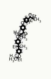 CCC(C)(C)Oc1ccc(C(C)(CC)c2ccc(OC(C)(CC)C(C)(CC)C(=O)c3ccc(Oc4ccc(C(=O)C(C)(C)CC)cc4)cc3)cc2)cc1